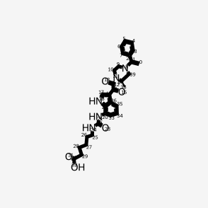 C=C(c1ccccc1)N1CCN(C(=O)C(=O)c2c[nH]c3c(NC(=O)NCCCCCC(=O)O)cccc23)[C@H](C)C1